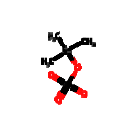 [CH3][Sn]([CH3])([CH3])[O][Re](=[O])(=[O])=[O]